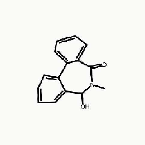 CN1C(=O)c2ccccc2-c2ccccc2C1O